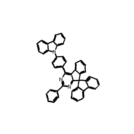 c1ccc(-c2nc(-c3ccc(-n4c5ccccc5c5ccccc54)cc3)c3c(n2)C2(c4ccccc4-c4ccccc42)c2ccccc2-3)cc1